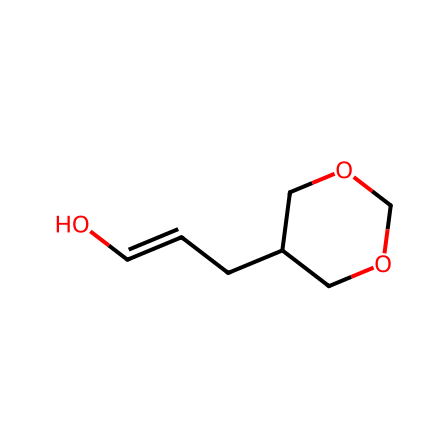 OC=CCC1COCOC1